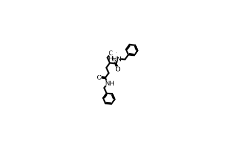 [CH2]CC(CCC(=O)NCc1ccccc1)C(=O)NCc1ccccc1